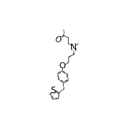 CC(=O)CCN(C)CCCOc1ccc(Cc2cccs2)cc1